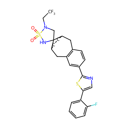 O=S1(=O)NC2(CN1CC(F)(F)F)C1CCC2Cc2cc(-c3ncc(-c4ccccc4F)s3)ccc2C1